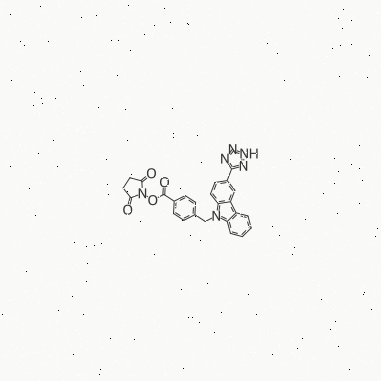 O=C(ON1C(=O)CCC1=O)c1ccc(Cn2c3ccccc3c3cc(-c4nn[nH]n4)ccc32)cc1